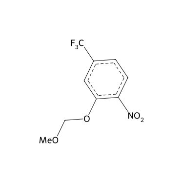 COCOc1cc(C(F)(F)F)ccc1[N+](=O)[O-]